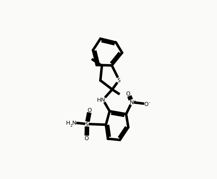 CCCC(C)(Nc1c([N+](=O)[O-])cccc1S(N)(=O)=O)Sc1ccccc1